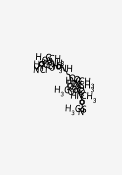 CC(=O)O[C@@H]1C[C@@H](C(=O)N[C@@H](C)c2ccc(-c3scnc3C)cc2)N(C(=O)[C@@H](NC(=O)COCCCCCNc2ccc(C(=O)N[C@H]3C(C)(C)[C@H](Oc4ccc(C#N)c(Cl)c4)C3(C)C)cc2)C(C)(C)C)C1